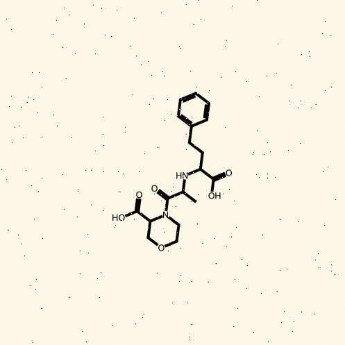 CC(NC(CCc1ccccc1)C(=O)O)C(=O)N1CCOCC1C(=O)O